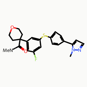 CNC(=O)C1(c2cc(F)cc(Sc3ccc(-c4ccnn4C)cc3)c2)CCOCC1